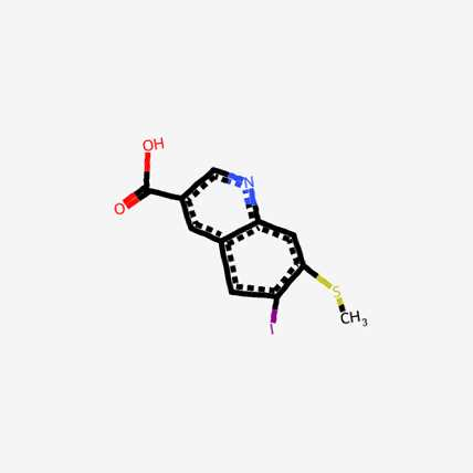 CSc1cc2ncc(C(=O)O)cc2cc1I